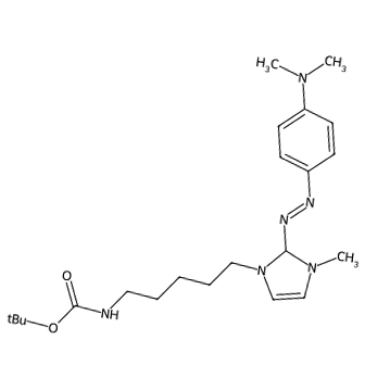 CN(C)c1ccc(/N=N/C2N(C)C=CN2CCCCCNC(=O)OC(C)(C)C)cc1